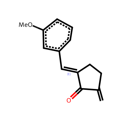 C=C1CC/C(=C\c2cccc(OC)c2)C1=O